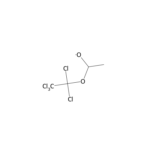 CC([O])OC(Cl)(Cl)C(Cl)(Cl)Cl